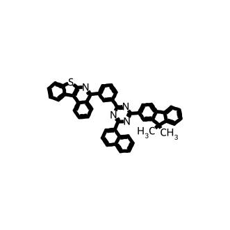 CC1(C)c2ccccc2-c2ccc(-c3nc(-c4cccc(-c5nc6sc7ccccc7c6c6ccccc56)c4)nc(-c4cccc5ccccc45)n3)cc21